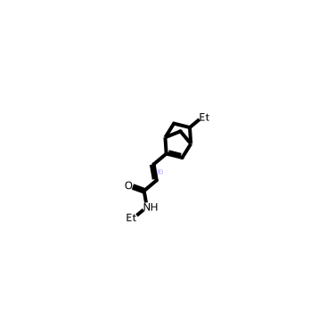 CCNC(=O)/C=C/C1=CC2CC1CC2CC